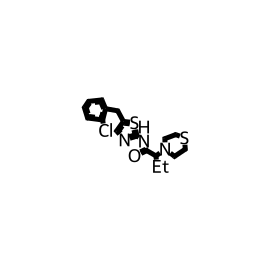 CCC(C(=O)Nc1ncc(Cc2ccccc2Cl)s1)N1CCSCC1